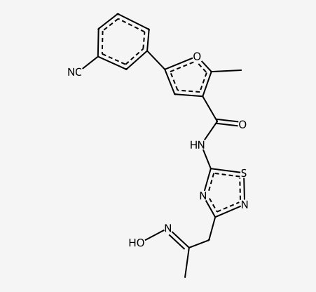 CC(Cc1nsc(NC(=O)c2cc(-c3cccc(C#N)c3)oc2C)n1)=NO